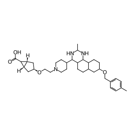 Cc1ccc(COC2CCC3C(CCC4C(C5CCN(CCO[C@H]6C[C@@H]7C(C(=O)O)[C@@H]7C6)CC5)NC(C)NC34)C2)cc1